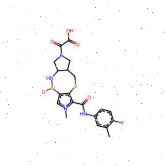 Cc1cc(NC(=O)c2c3c(cn2C)[S+]([O-])NC2CN(C(=O)C(=O)O)CC2CS3)ccc1F